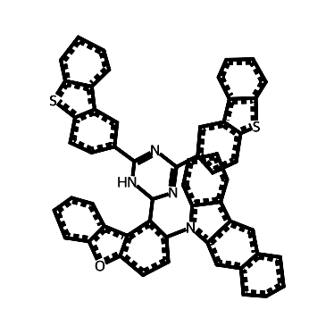 c1ccc2cc3c(cc2c1)c1ccccc1n3-c1ccc2oc3ccccc3c2c1C1N=C(c2ccc3sc4ccccc4c3c2)N=C(c2ccc3sc4ccccc4c3c2)N1